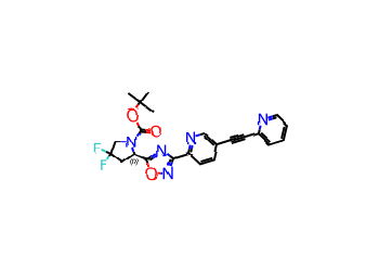 CC(C)(C)OC(=O)N1CC(F)(F)C[C@@H]1c1nc(-c2ccc(C#Cc3ccccn3)cn2)no1